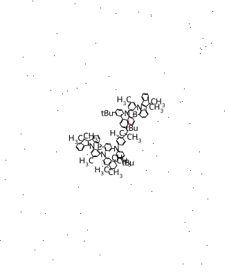 Cc1cc2c3c(c1)-n1c4c(c5cccc(c51)B3c1ccc(N(c3ccc(C(C)(C)C)cc3)c3ccc(C(C)(C)Cc5ccc(-c6cc(C(C)(C)C)ccc6N6c7cc(C(C)(C)C)ccc7B7c8c6cc(C)cc8-n6c8c(c9cccc7c96)C(C)(C)c6ccccc6-8)cc5)cc3)cc1N2c1ccc2c(c1)C(C)(C)CCC2(C)C)C(C)(C)c1ccccc1-4